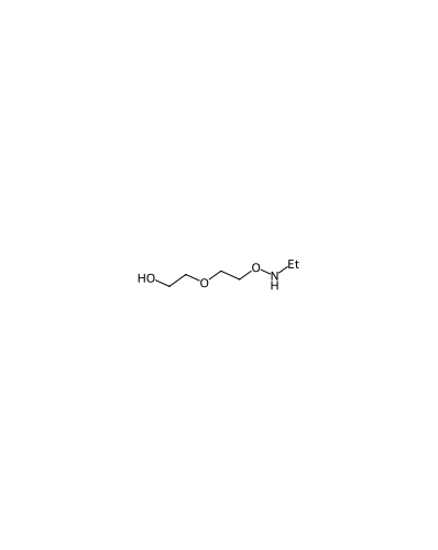 CCNOCCOCCO